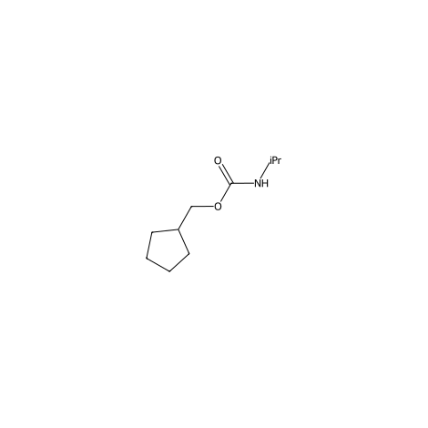 CC(C)NC(=O)OCC1CCCC1